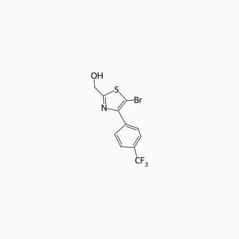 OCc1nc(-c2ccc(C(F)(F)F)cc2)c(Br)s1